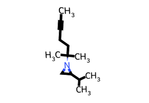 CC#CCCC(C)(C)[N@@]1CC1C(C)C